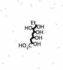 CCC(O)C(O)C(O)CC(O)CC(O)C(=O)O